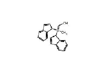 C[CH]=[Zr]([CH3])([CH]1C=Cc2ccccc21)[CH]1C=Cc2ccccc21